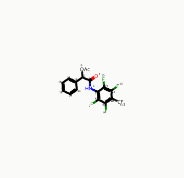 CC(=O)OC(C(=O)Nc1c(F)c(F)c(C(F)(F)F)c(F)c1F)c1ccccc1